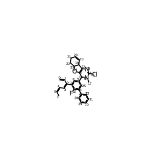 C=C/C(=C\C=C/C)c1cc(C2C3=C(N=C(Cl)N2C)C2C=CCCC2O3)cc(-c2ccccc2)c1F